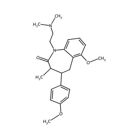 COc1ccc(C2Cc3c(OC)cccc3N(CCN(C)C)C(=O)C2C)cc1